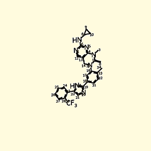 C=C1N(C)c2nc(NC3CC3)ncc2CN1c1cc(-c2ncc(-c3ccccc3C(F)(F)F)[nH]2)ccc1C